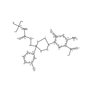 CC(=O)c1nn(C2CCC(COC(=O)NC(C)(C)C)(c3cccc(Cl)c3)CC2)c(=O)cc1N